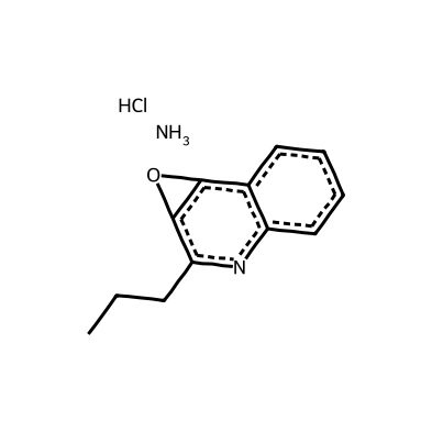 CCCc1nc2ccccc2c2c1O2.Cl.N